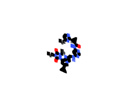 Cc1ccnc([C@H]2C[C@@H]2C(=O)Nc2cc(NCc3cn4cc(C5CC5)cc(-n5c(=O)n(C)c(=O)n5C)c4n3)ncn2)n1